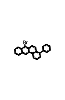 Brc1c2ccccc2cc2c1ccc1c(-c3ccccc3)cccc12